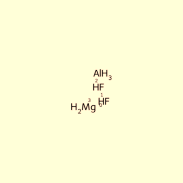 F.F.[AlH3].[MgH2]